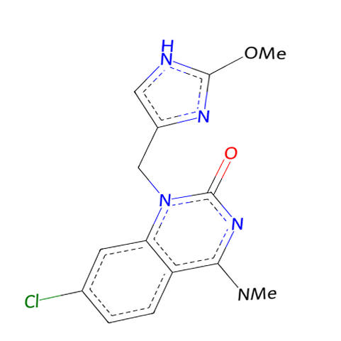 CNc1nc(=O)n(Cc2c[nH]c(OC)n2)c2cc(Cl)ccc12